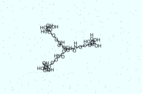 CC(COCCC(=O)NCCOCCOCCO[C@H]1OC(CO)[C@@H](O)[C@H](O)C1O)(COCCC(=O)NCCOCCOCCO[C@H]1OC(CO)[C@@H](O)[C@H](O)C1O)OCCCC(=O)NCCOCCOCCO[C@H]1OC(CO)[C@@H](O)[C@H](O)C1O